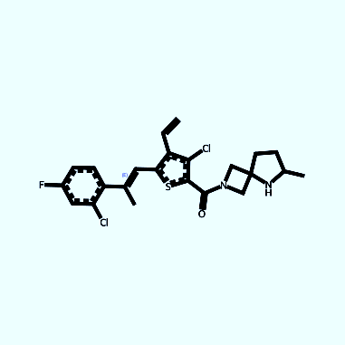 C=Cc1c(/C=C(\C)c2ccc(F)cc2Cl)sc(C(=O)N2CC3(CCC(C)N3)C2)c1Cl